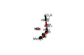 CCc1cc(Nc2nccn3c(-c4ccc(OC)c(F)c4F)cnc23)ccc1C(=O)NCCNC(=O)[C@@H](N)CCCNC(=N)NCCCC(=O)O.Cl.Cl.Cl